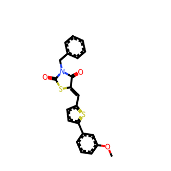 COc1cccc(-c2ccc(/C=C3\SC(=O)N(Cc4ccccc4)C3=O)s2)c1